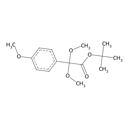 COc1ccc(C(OC)(OC)C(=O)OC(C)(C)C)cc1